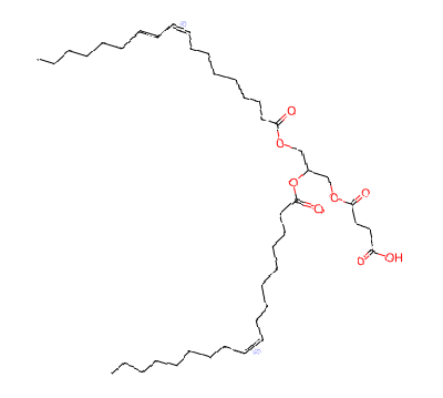 CCCCCCCC/C=C\CCCCCCCC(=O)OCC(COC(=O)CCC(=O)O)OC(=O)CCCCCCC/C=C\CCCCCCCC